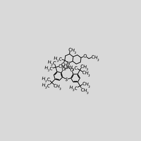 CCOC1CCC2C(C1)C(C)CC(C)(C)N2P1Oc2c(cc(C(C)(C)C)cc2C(C)(C)C)Sc2cc(C(C)(C)C)cc(C(C)(C)C)c2O1